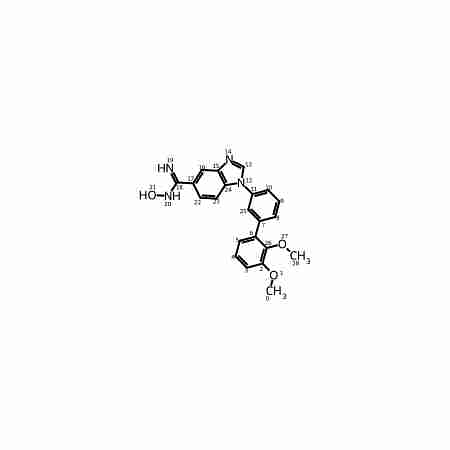 COc1cccc(-c2cccc(-n3cnc4cc(C(=N)NO)ccc43)c2)c1OC